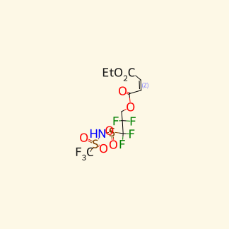 CCOC(=O)/C=C\C(=O)OCC(F)(F)C(F)(F)S(=O)(=O)NS(=O)(=O)C(F)(F)F